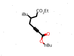 CCCCOC(=O)C#CCC(CC(=O)OCC)C(C)CC